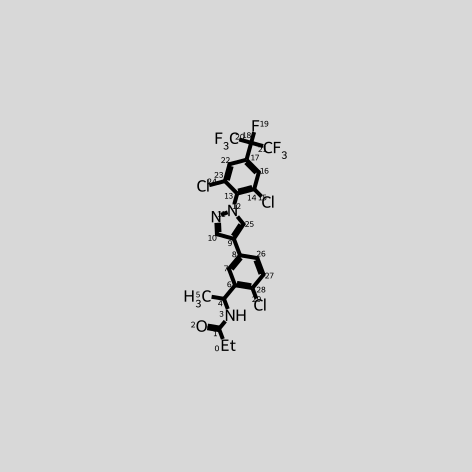 CCC(=O)NC(C)c1cc(-c2cnn(-c3c(Cl)cc(C(F)(C(F)(F)F)C(F)(F)F)cc3Cl)c2)ccc1Cl